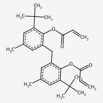 C=CC(=O)Oc1c(Cc2cc(C)cc(C(C)(C)C)c2OC(=O)C=C)cc(C)cc1C(C)(C)C